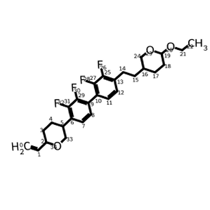 C=CC1CCC(c2ccc(-c3ccc(CCC4CCC(OCC)OC4)c(F)c3F)c(F)c2F)CO1